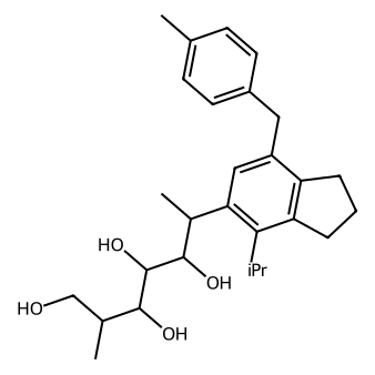 Cc1ccc(Cc2cc(C(C)C(O)C(O)C(O)C(C)CO)c(C(C)C)c3c2CCC3)cc1